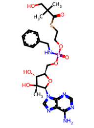 CC(C)(CO)C(=O)SCCOP(=O)(NCc1ccccc1)OC[C@H]1O[C@@H](n2cnc3c(N)ncnc32)[C@](C)(O)[C@@H]1O